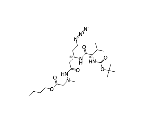 CCCCOC(=O)CN(C)NC(=O)C[C@H](CCN=[N+]=[N-])NC(=O)[C@@H](NC(=O)OC(C)(C)C)C(C)C